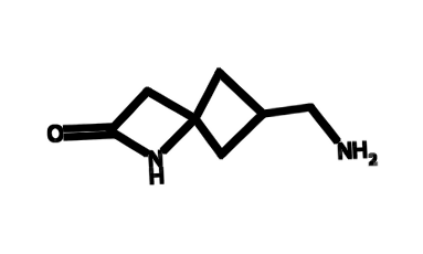 NCC1CC2(CC(=O)N2)C1